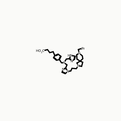 CC(C)CN1CCC2(CC1)CCN(CCCn1ccnc1CN(Cc1ccc(CCCC(=O)O)cc1)Cc1ncc[nH]1)C2